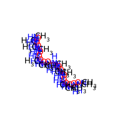 CC(=O)Nc1cn(C)c(C(=O)Nc2cc(C(=O)Nc3cn(C)c(C(=O)NCCC(=O)Nc4cc(C(=O)Nc5cc(C(=O)Nc6cc(C(=O)NCCCC(=O)Nc7cn(C)c(C(=O)Nc8cc(C(=O)Nc9cn(C)c(C(=O)NCCC(=O)Nc%10cc(C(=O)Nc%11cc(C(=O)Nc%12cc(C(=O)NCCC(=O)NCCCN(C)C)n(C)c%12)n(C)c%11)n(C)c%10)n9)n(C)c8)n7)n(C)c6)n(C)c5)n(C)c4)n3)n(C)c2)n1